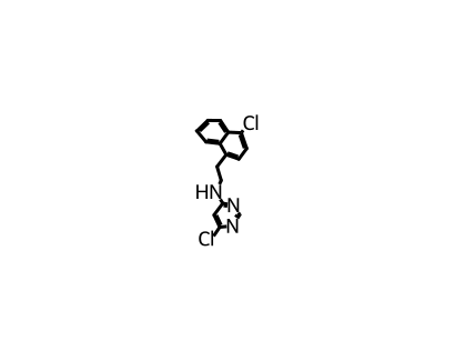 Clc1cc(NCCc2ccc(Cl)c3ccccc23)ncn1